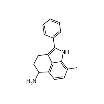 Cc1ccc2c3c(c(-c4ccccc4)[nH]c13)CCC2N